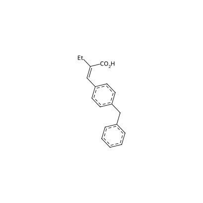 CCC(=Cc1ccc(Cc2ccccc2)cc1)C(=O)O